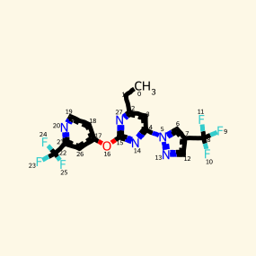 CCc1cc(-n2cc(C(F)(F)F)cn2)nc(Oc2ccnc(C(F)(F)F)c2)n1